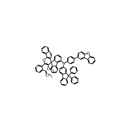 C=Cc1ccccc1C1=C(C)C2(c3ccccc3-c3c(N(c4ccc(-c5ccc6oc7ccccc7c6c5)cc4)c4ccc5c(c4)C(c4ccccc4)(c4ccccc4)c4ccccc4-5)cccc32)c2ccc3ccccc3c2O1